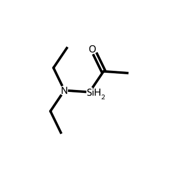 CCN(CC)[SiH2]C(C)=O